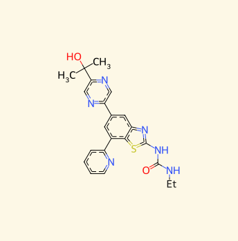 CCNC(=O)Nc1nc2cc(-c3cnc(C(C)(C)O)cn3)cc(-c3ccccn3)c2s1